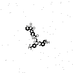 Cc1ccc2[nH]ncc2c1CN(Cc1ccc(C(F)(F)F)cc1)C(=O)CNC(=O)c1cc2c(cn1)CC1(C2)C(=O)Nc2ncccc21